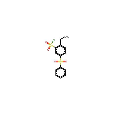 CCc1ccc(S(=O)(=O)c2ccccc2)cc1S(=O)(=O)Cl